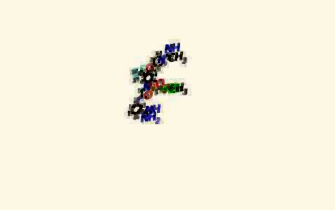 CCOC(=O)CS(=O)(=O)N(C/C=C/c1cccc(C(=N)N)c1)c1ccc(OC2CCN(C(C)=N)CC2)c(C(F)(F)F)c1.Cl.Cl